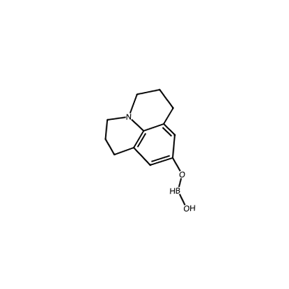 OBOc1cc2c3c(c1)CCCN3CCC2